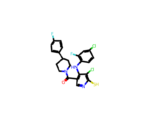 O=C(c1cnc(S)c(Cl)c1Nc1ccc(Cl)cc1F)N1CCC(c2ccc(F)cc2)CC1